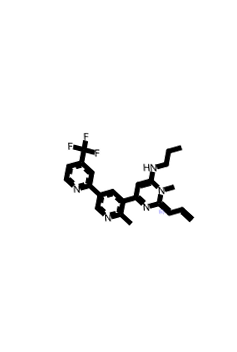 C=C/C=C1/N=C(c2cc(-c3cc(C(F)(F)F)ccn3)cnc2C)C=C(NCCC)N1C